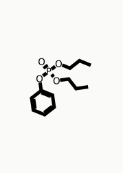 CCCOP(=O)(OCCC)Oc1ccccc1